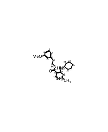 COc1cccc(CCNC(=O)c2cnc(C)nc2NC2CCCCC2)c1